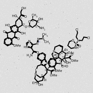 CC[C@]1(O)C[C@@H]2CN(CCc3c([nH]c4ccccc34)[C@@](C(=O)OC)(c3ccc4c(c3OC)N(C=O)[C@H]3[C@@](O)(C(=O)OC)[C@H](OC(C)=O)[C@]5(CC)C=CCN6CC[C@]43[C@@H]65)C2)C1.CN(C)/N=N/c1nc[nH]c1C(N)=O.COc1cccc2c1C(=O)c1c(O)c3c(c(O)c1C2=O)C[C@@](O)(C(=O)CO)C[C@@H]3O[C@H]1C[C@H](N)[C@H](O)[C@H](C)O1.O=P1(N(CCCl)CCCl)NCCCO1